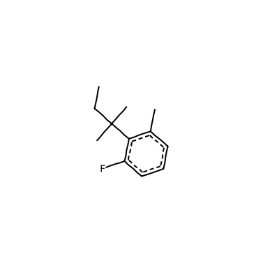 CCC(C)(C)c1c(C)cccc1F